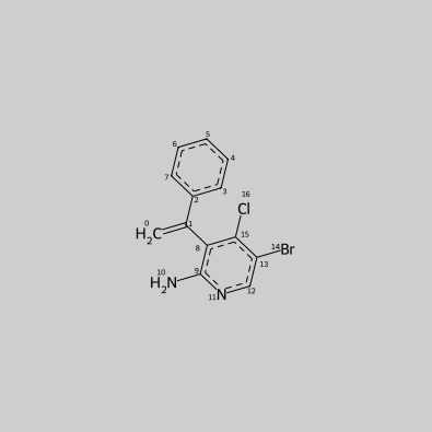 C=C(c1ccccc1)c1c(N)ncc(Br)c1Cl